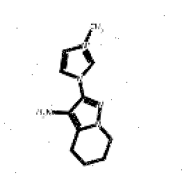 C[n+]1ccn(-c2nn3c(c2N)CCCC3)c1